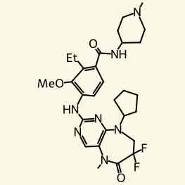 CCc1c(C(=O)NC2CCN(C)CC2)ccc(Nc2ncc3c(n2)N(C2CCCC2)CC(F)(F)C(=O)N3C)c1OC